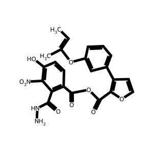 CC=C(C)Oc1cccc(-c2ccoc2C(=O)OC(=O)c2ccc(O)c([N+](=O)[O-])c2C(=O)NN)c1